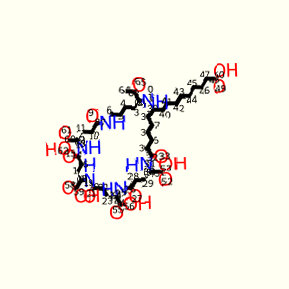 CN[C@@H](CCCCNC(=O)CC[C@H](NC(=O)CC[C@H](NC(=O)CC[C@H](NC(=O)CC[C@H](NC(=O)CCCCCCCCCCCCCCC(=O)O)C(=O)O)C(=O)O)C(=O)O)C(=O)O)C(C)=O